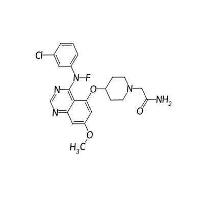 COc1cc(OC2CCN(CC(N)=O)CC2)c2c(N(F)c3cccc(Cl)c3)ncnc2c1